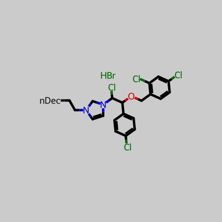 Br.CCCCCCCCCCCCN1C=CN(C(Cl)C(OCc2ccc(Cl)cc2Cl)c2ccc(Cl)cc2)C1